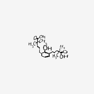 CC(C)(CCCc1cccc(CCCC(C)(C)C(=O)O)c1O)C(=O)O